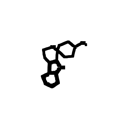 CN1CCC2(CC1)NCCc1c2[nH]c2ccccc12